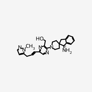 Cn1nccc1CC#Cc1cnc(N2CCC3(CC2)Cc2ccccc2[C@H]3N)c(CO)n1